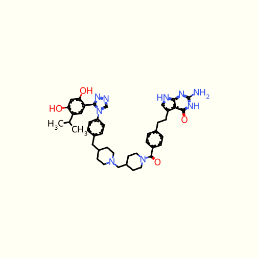 CC(C)c1cc(-c2nncn2-c2ccc(CC3CCN(CC4CCN(C(=O)c5ccc(CCc6c[nH]c7nc(N)[nH]c(=O)c67)cc5)CC4)CC3)cc2)c(O)cc1O